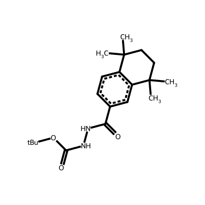 CC(C)(C)OC(=O)NNC(=O)c1ccc2c(c1)C(C)(C)CCC2(C)C